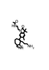 CC(=O)NCCN1C(=O)C(C)(C)c2cc(C)c(C3=C(CCCN)c4n[nH]cc4CCC3)cc21